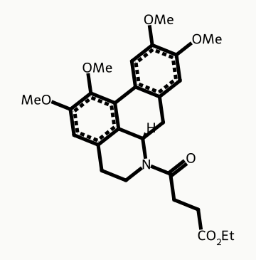 CCOC(=O)CCC(=O)N1CCc2cc(OC)c(OC)c3c2[C@@H]1Cc1cc(OC)c(OC)cc1-3